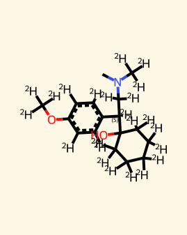 [2H]c1c([2H])c([C@@]([2H])(C([2H])([2H])N(C)C([2H])([2H])[2H])C2(O)C([2H])([2H])C([2H])([2H])C([2H])([2H])C([2H])([2H])C2([2H])[2H])c([2H])c([2H])c1OC([2H])([2H])[2H]